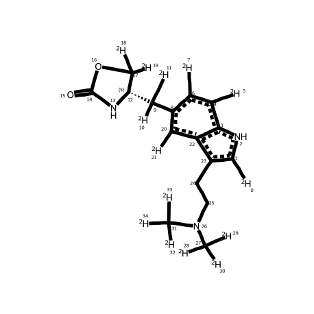 [2H]c1[nH]c2c([2H])c([2H])c(C([2H])([2H])[C@@H]3NC(=O)OC3([2H])[2H])c([2H])c2c1CCN(C([2H])([2H])[2H])C([2H])([2H])[2H]